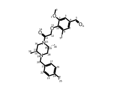 COc1cc(C=O)cc(I)c1OCC(=O)N1C[C@H](C)N(Cc2ccc(F)cc2)C[C@H]1C